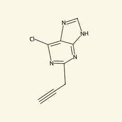 C#CCc1nc(Cl)c2nc[nH]c2n1